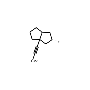 COC#CC12CCCN1C[C@H](F)C2